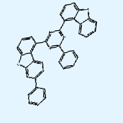 c1ccc(-c2ccc3c(c2)oc2cccc(-c4nc(-c5ccccc5)nc(-c5cccc6sc7ccccc7c56)n4)c23)cc1